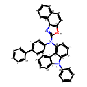 c1ccc(-c2ccc(N(c3nc4c(ccc5ccccc54)o3)c3cccc4c3c3ccccc3n4-c3ccccc3)cc2)cc1